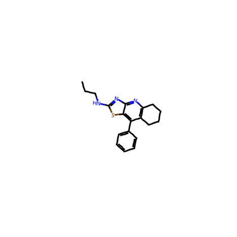 CCCNc1nc2nc3c(c(-c4ccccc4)c2s1)CCCC3